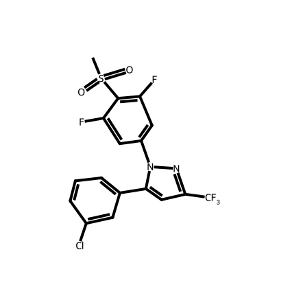 CS(=O)(=O)c1c(F)cc(-n2nc(C(F)(F)F)cc2-c2cccc(Cl)c2)cc1F